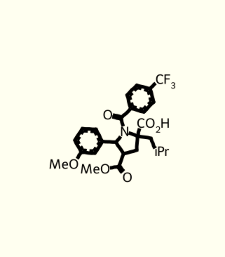 COC(=O)C1CC(CC(C)C)(C(=O)O)N(C(=O)c2ccc(C(F)(F)F)cc2)C1c1cccc(OC)c1